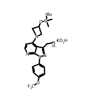 CC(C)(C)[Si](C)(C)OC1CN(c2ccnc3c2c(CNC(=O)O)nn3-c2ccc(OC(F)(F)F)cc2)C1